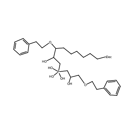 CCCCCCCCCCCCCCCCC(OCCc1ccccc1)C(O)CP(O)(O)(O)CC(O)COCCc1ccccc1